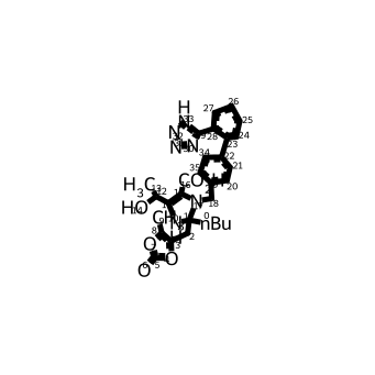 CCCCC1(Cc2oc(=O)oc2C)NC(C(C)O)=C(C(=O)O)N1Cc1ccc(-c2ccccc2-c2nnn[nH]2)cc1